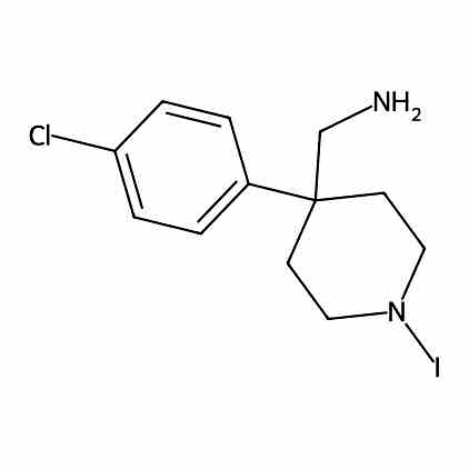 NCC1(c2ccc(Cl)cc2)CCN(I)CC1